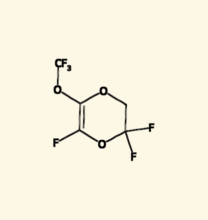 FC1=C(OC(F)(F)F)OCC(F)(F)O1